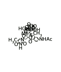 CSSC(C)c1cc(NC(C)=O)ccc1C(=O)OC1C[C@H](n2cc(C)c(=O)[nH]c2=O)O[C@@H]1COP(=O)(O)OP(=O)(O)OP(=O)(O)O